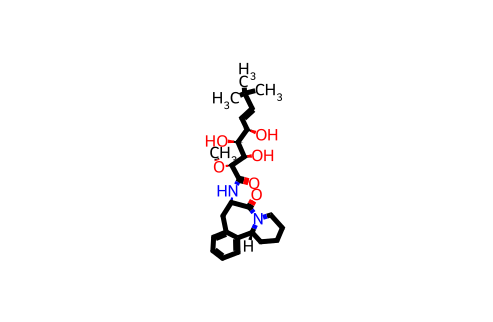 CO[C@@H](C(=O)N[C@H]1Cc2ccccc2[C@H]2CCCCN2C1=O)[C@H](O)[C@@H](O)[C@H](O)/C=C/C(C)(C)C